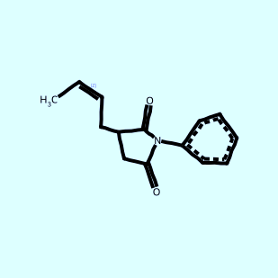 C/C=C\CC1CC(=O)N(c2ccccc2)C1=O